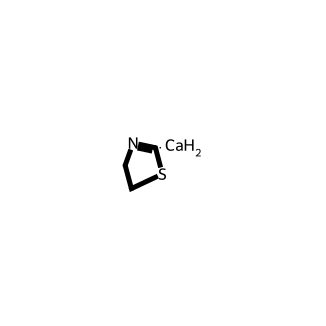 [C]1=NCCS1.[CaH2]